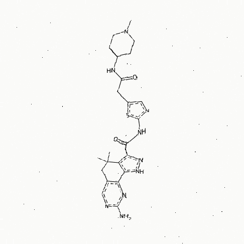 CN1CCC(NC(=O)Cc2cnc(NC(=O)c3n[nH]c4c3C(C)(C)Cc3cnc(N)nc3-4)s2)CC1